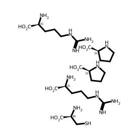 N=C(N)NCCC[C@H](N)C(=O)O.N=C(N)NCCC[C@H](N)C(=O)O.N[C@@H](CS)C(=O)O.O=C(O)[C@@H]1CCCN1.O=C(O)[C@@H]1CCCN1